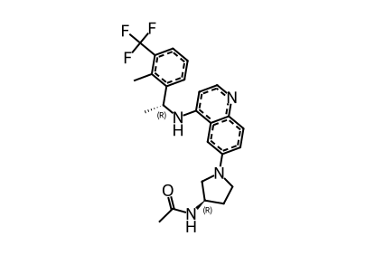 CC(=O)N[C@@H]1CCN(c2ccc3nccc(N[C@H](C)c4cccc(C(F)(F)F)c4C)c3c2)C1